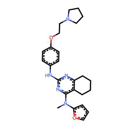 CN(c1ccco1)c1nc(Nc2ccc(OCCN3CCCC3)cc2)nc2c1CCCC2